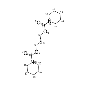 O=C(OCSCOC(=O)N1CCCCC1)N1CCCCC1